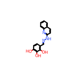 Oc1ccc(/C=N/Nc2ccc3ccccc3n2)c(O)c1O